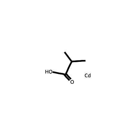 CC(C)C(=O)O.[Cd]